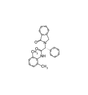 Cc1cccc(C)c1NC(=O)[C@@H](c1ccccc1)N1Cc2ccccc2C1=O